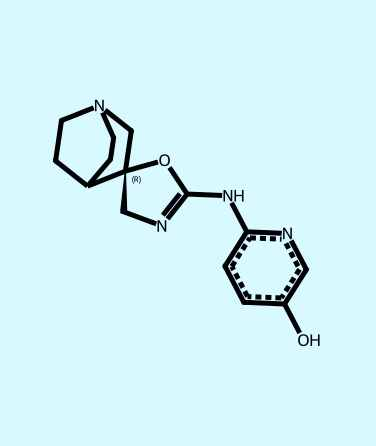 Oc1ccc(NC2=NC[C@@]3(CN4CCC3CC4)O2)nc1